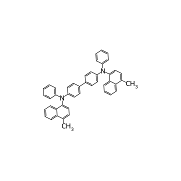 Cc1ccc(N(c2ccccc2)c2ccc(-c3ccc(N(c4ccccc4)c4ccc(C)c5ccccc45)cc3)cc2)c2ccccc12